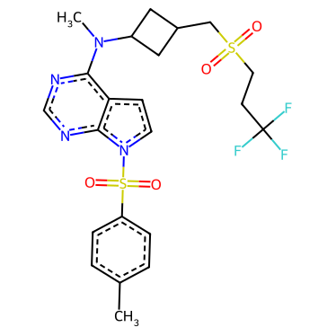 Cc1ccc(S(=O)(=O)n2ccc3c(N(C)C4CC(CS(=O)(=O)CCC(F)(F)F)C4)ncnc32)cc1